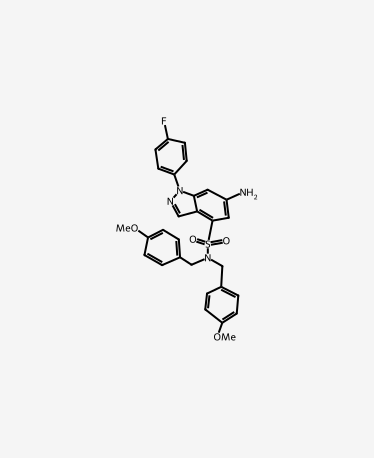 COc1ccc(CN(Cc2ccc(OC)cc2)S(=O)(=O)c2cc(N)cc3c2cnn3-c2ccc(F)cc2)cc1